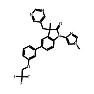 Cn1cnc(N2C(=O)C(C)(Cc3cncnc3)c3cc(-c4cccc(OCC(F)(F)F)c4)ccc32)c1